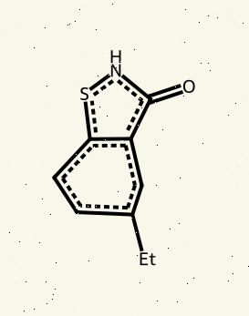 CCc1ccc2s[nH]c(=O)c2c1